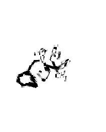 CCCN(Cc1ccccc1)C(=O)C(C)(C)Br